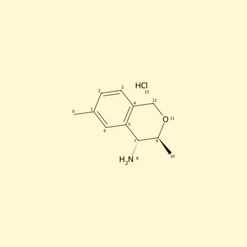 Cc1ccc2c(c1)[C@@H](N)[C@H](C)OC2.Cl